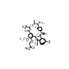 COc1cc(C(=O)/N=C(/C)N)cc(CNc2ccc(Cl)cc2C(=O)Nc2ccc(C(=N)N)cc2)c1OCC(=O)O